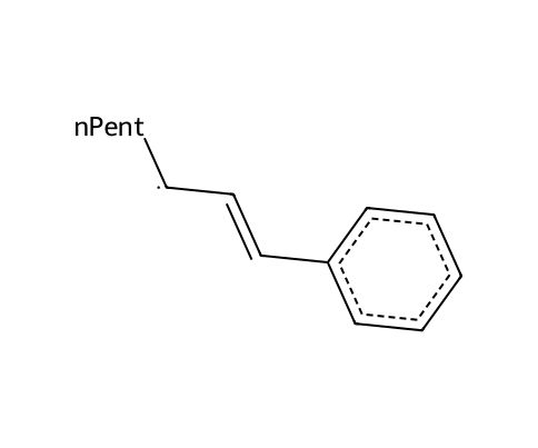 CCCCC[CH]C=Cc1ccccc1